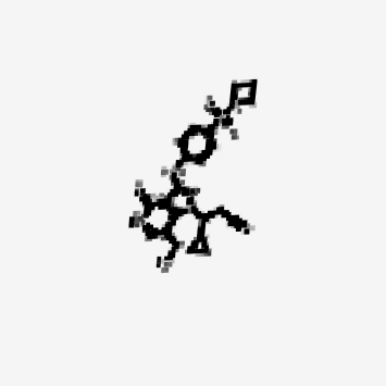 N#CCC(C1CC1)n1nc(Nc2ccc(S(=O)(=O)N3CCC3)cc2)c2c(=O)[nH]cc(CO)c21